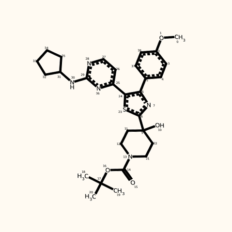 COc1ccc(-c2nc(C3(O)CCN(C(=O)OC(C)(C)C)CC3)sc2-c2ccnc(NC3CCCC3)n2)cc1